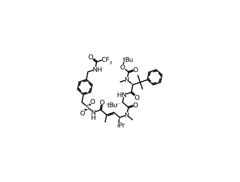 C/C(=C\[C@H](C(C)C)N(C)C(=O)[C@@H](NC(=O)[C@@H](N(C)C(=O)OC(C)(C)C)C(C)(C)c1ccccc1)C(C)(C)C)C(=O)NS(=O)(=O)Cc1ccc(CNC(=O)C(F)(F)F)cc1